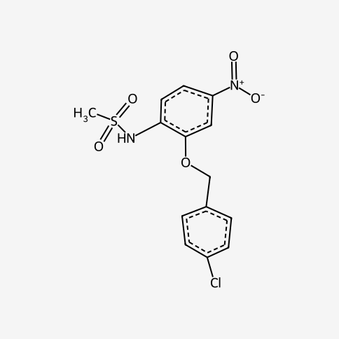 CS(=O)(=O)Nc1ccc([N+](=O)[O-])cc1OCc1ccc(Cl)cc1